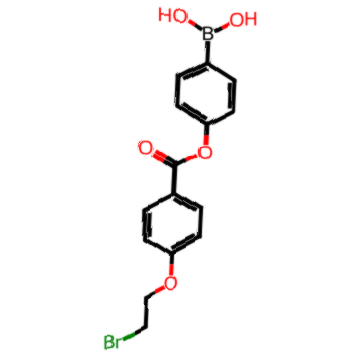 O=C(Oc1ccc(B(O)O)cc1)c1ccc(OCCBr)cc1